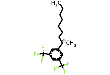 CCCCCCC[C@H](C)c1cc(C(F)(F)F)cc(C(F)(F)F)c1